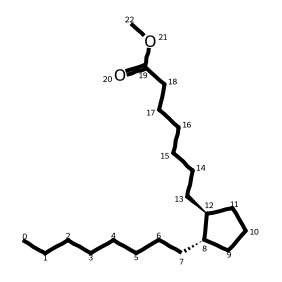 CCCCCCCC[C@H]1CCC[C@@H]1CCCCCCC(=O)OC